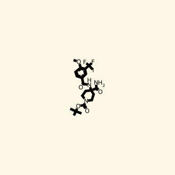 COc1ccc(C(=O)NC2(C(N)=O)CCN(C(=O)OC(C)(C)C)CC2)cc1C(F)(F)I